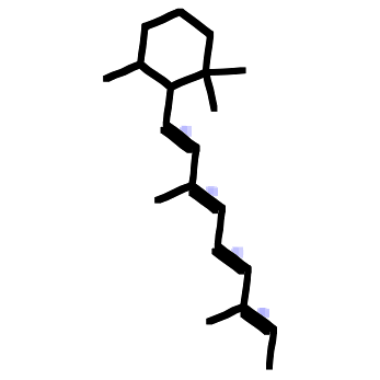 C/C=C(C)/C=C/C=C(C)/C=C/C1C(C)CCCC1(C)C